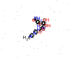 CN1CCC(N2CCC(NC(=O)c3cc(-c4c(O)cc(O)cc4Oc4ccc(C(N)=O)cc4)no3)CC2)CC1